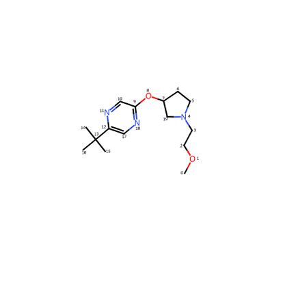 COCCN1CCC(Oc2cnc(C(C)(C)C)cn2)C1